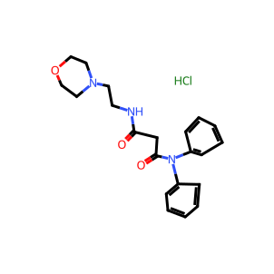 Cl.O=C(CC(=O)N(c1ccccc1)c1ccccc1)NCCN1CCOCC1